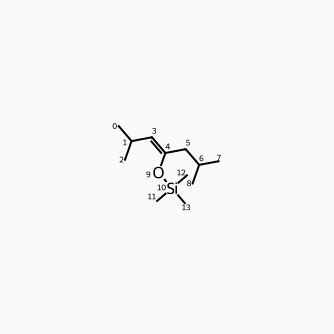 CC(C)C=C(CC(C)C)O[Si](C)(C)C